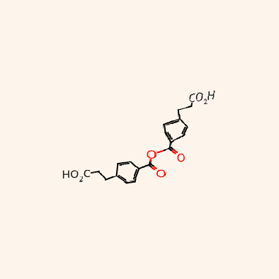 O=C(O)CCc1ccc(C(=O)OC(=O)c2ccc(CCC(=O)O)cc2)cc1